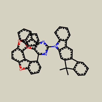 CC1(C)c2ccccc2-c2cc3c4ccccc4n(-c4nc(-c5cccc6oc7ccc8oc9ccccc9c8c7c56)c5oc6ccccc6c5n4)c3cc21